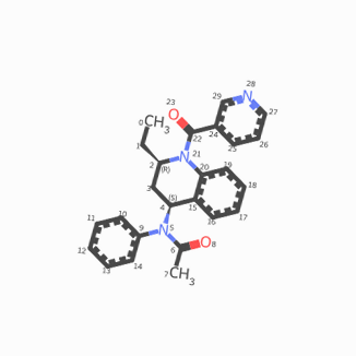 CC[C@@H]1C[C@H](N(C(C)=O)c2ccccc2)c2ccccc2N1C(=O)c1cccnc1